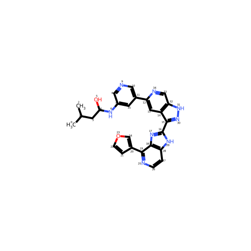 CC(C)CC(O)Nc1cncc(-c2cc3c(-c4nc5c(-c6ccoc6)nccc5[nH]4)n[nH]c3cn2)c1